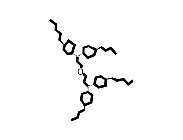 CCCCC[C@H]1CC[C@H](C(CCOCCC([C@H]2CC[C@H](CCCC)CC2)[C@H]2CC[C@H](CCCCC)CC2)[C@H]2CC[C@H](CCCC)CC2)CC1